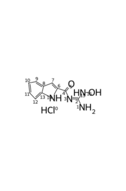 Cl.NC(=NC(=O)c1cc2ccccc2[nH]1)NO